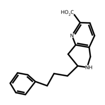 O=C(O)c1ccc2c(n1)CC(CCCc1ccccc1)NC2